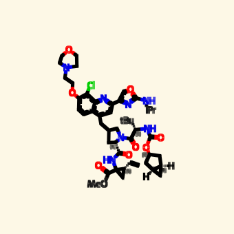 C=C[C@@H]1CC1(NC(=O)[C@@H]1CC(Cc2cc(-c3coc(NC(C)C)n3)nc3c(Cl)c(OCCN4CCOCC4)ccc23)CN1C(=O)[C@@H](NC(=O)O[C@@H]1C[C@@H]2C[C@@H]2C1)C(C)(C)C)C(=O)OC